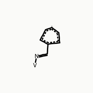 [V][N]=Cc1cc[c]cc1